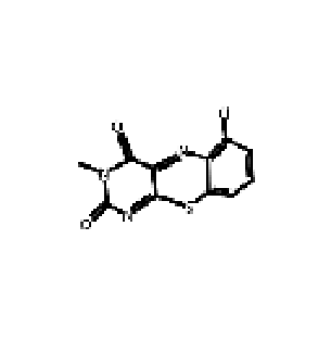 Cn1c(=O)nc2sc3cccc(Cl)c3nc-2c1=O